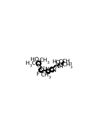 Cc1c(F)cc(N2C[C@@H](C)C(O)[C@@H](C)C2)nc1-c1ccc2cnc(CNC(=O)OC(C)(C)C)cc2n1